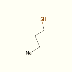 [Na][CH2]CCS